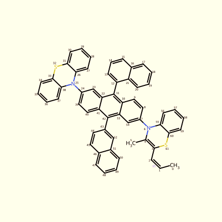 C/C=C\C1=C(C)N(c2ccc3c(-c4cccc5ccccc45)c4cc(N5c6ccccc6Sc6ccccc65)ccc4c(-c4ccc5ccccc5c4)c3c2)c2ccccc2S1